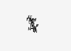 C[C@H](NS(=O)(=O)c1ccc(-c2c(C#N)c3ccncc3n2C2=CC=C2)nc1)C(F)(F)F